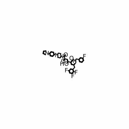 O=C(C=C(O)c1cc(Cc2cc(F)cc(F)c2F)cn(Cc2cccc(F)c2)c1=O)C(=O)N1CCN(c2ccc(-n3cccc3)cc2)CC1